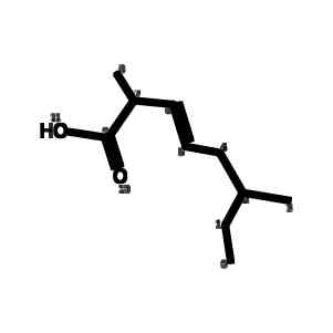 CCC(C)C/C=C/C(C)C(=O)O